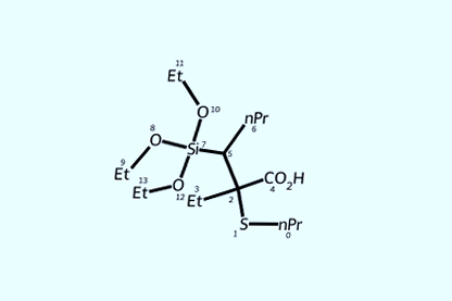 CCCSC(CC)(C(=O)O)C(CCC)[Si](OCC)(OCC)OCC